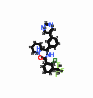 O=C(N[C@@H](c1cccc(-c2cncnc2)c1)C1CCCCN1)c1cccc(C(F)(F)F)c1Cl